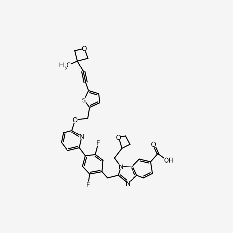 CC1(C#Cc2ccc(COc3cccc(-c4cc(F)c(Cc5nc6ccc(C(=O)O)cc6n5CC5CCO5)cc4F)n3)s2)COC1